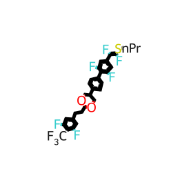 CCCS/C(F)=C(\F)c1cc(F)c(-c2ccc(C3COC(CCc4cc(F)c(C(F)(F)F)c(F)c4)OC3)cc2)c(F)c1